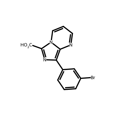 O=C(O)c1nc(-c2cccc(Br)c2)c2ncccn12